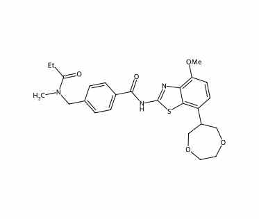 CCC(=O)N(C)Cc1ccc(C(=O)Nc2nc3c(OC)ccc(C4COCCOC4)c3s2)cc1